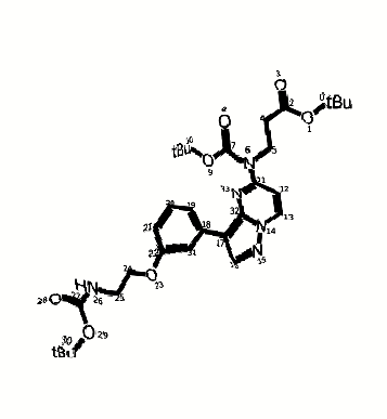 CC(C)(C)OC(=O)CCN(C(=O)OC(C)(C)C)c1ccn2ncc(-c3cccc(OCCNC(=O)OC(C)(C)C)c3)c2n1